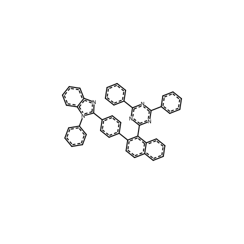 c1ccc(-c2nc(-c3ccccc3)nc(-c3c(-c4ccc(-c5nc6ccccc6n5-c5ccccc5)cc4)ccc4ccccc34)n2)cc1